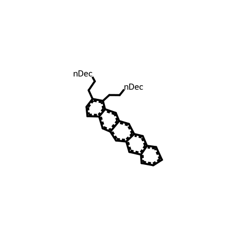 CCCCCCCCCCCCc1ccc2cc3cc4cc5ccccc5cc4cc3cc2c1CCCCCCCCCCCC